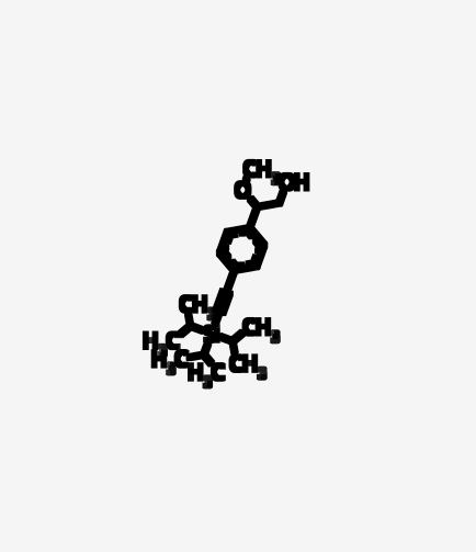 COC(CO)c1ccc(C#C[Si](C(C)C)(C(C)C)C(C)C)cc1